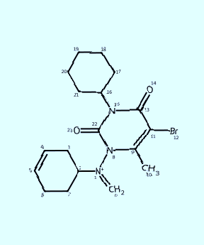 C=[N+](C1CC=CCC1)n1c(C)c(Br)c(=O)n(C2CCCCC2)c1=O